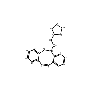 C1=C\c2ccccc2N(OCC2CCCC2)Cc2ccccc2/1